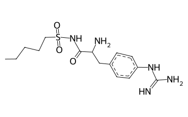 CCCCCS(=O)(=O)NC(=O)C(N)Cc1ccc(NC(=N)N)cc1